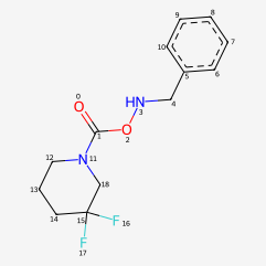 O=C(ONCc1ccccc1)N1CCCC(F)(F)C1